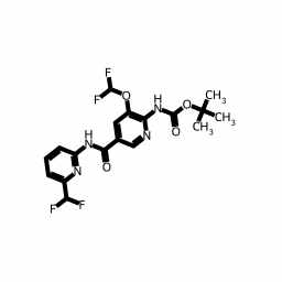 CC(C)(C)OC(=O)Nc1ncc(C(=O)Nc2cccc(C(F)F)n2)cc1OC(F)F